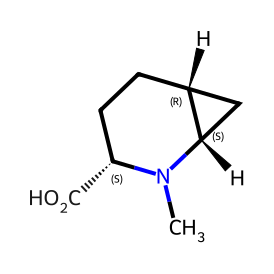 CN1[C@H](C(=O)O)CC[C@@H]2C[C@@H]21